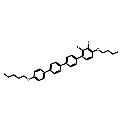 CCCCCOc1ccc(-c2ccc(-c3ccc(-c4ccc(OCCCC)c(F)c4F)cc3)cc2)cc1